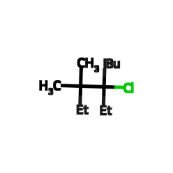 CCC(C)C(Cl)(CC)C(C)(C)CC